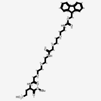 CC(C)(C)OC(=O)C(CCC(=O)O)NC(=O)COCCOCCNC(=O)COCCOCCNC(=O)OCC1c2ccccc2-c2ccccc21